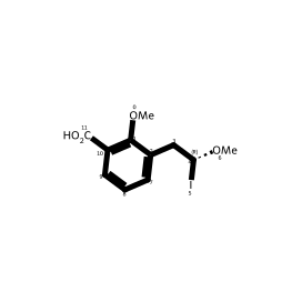 COc1c(C[C@@H](I)OC)cccc1C(=O)O